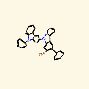 Sc1cc2c(cc1-c1ccccc1)c1ccccc1n2-c1ccc2c(c1)c1ccccc1n2-c1ccccc1